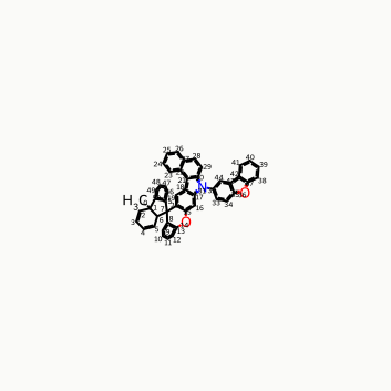 CC12C=CC=CC1C1(c3ccccc3Oc3cc4c(cc31)c1c3ccccc3ccc1n4-c1ccc3oc4ccccc4c3c1)c1ccccc12